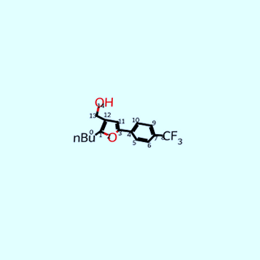 CCCCc1oc(-c2ccc(C(F)(F)F)cc2)cc1CO